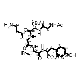 CCCC[C@H](NC(=O)CNC(C)=O)C(=O)N[C@@H](CCCCN)C(=O)N[C@@H](CC(C)C)C(=O)N[C@@H](Cc1ccc(O)cc1)C(=O)O